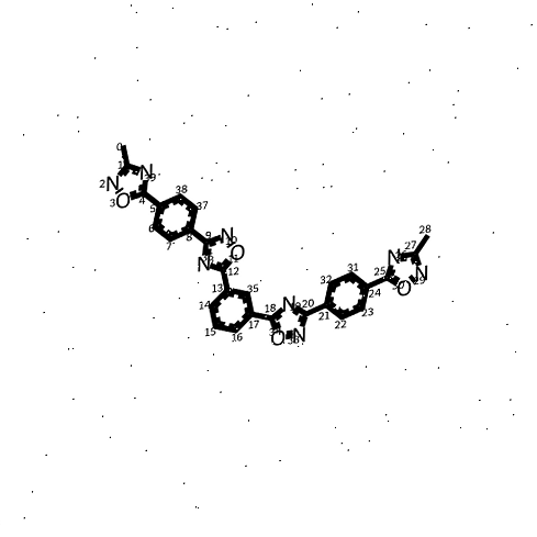 Cc1noc(-c2ccc(-c3noc(-c4cccc(-c5nc(-c6ccc(-c7nc(C)no7)cc6)no5)c4)n3)cc2)n1